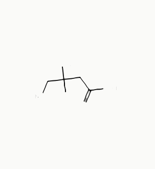 CC(C)(CC#N)CC(=O)C(=O)O